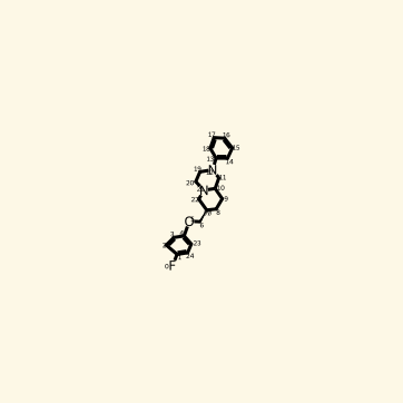 Fc1ccc(OC[C@@H]2CCC3CN(c4ccccc4)CCN3C2)cc1